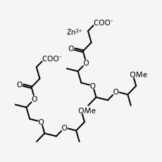 COCC(C)OCC(C)OCC(C)OC(=O)CCC(=O)[O-].COCC(C)OCC(C)OCC(C)OC(=O)CCC(=O)[O-].[Zn+2]